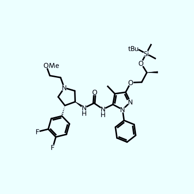 COCCN1C[C@@H](NC(=O)Nc2c(C)c(OC[C@H](C)O[Si](C)(C)C(C)(C)C)nn2-c2ccccc2)[C@H](c2ccc(F)c(F)c2)C1